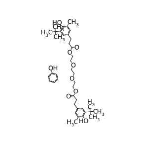 Cc1cc(CCC(=O)OCCOCCOCCOC(=O)CCc2cc(C)c(O)c(C(C)(C)C)c2)cc(C(C)(C)C)c1O.Oc1ccccc1